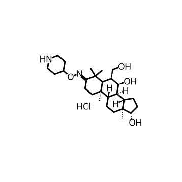 CC1(C)/C(=N/OC2CCNCC2)CC[C@@]2(C)C1[C@@H](CO)[C@@H](O)[C@H]1[C@@H]3CC[C@H](O)[C@@]3(C)CC[C@@H]12.Cl